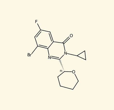 O=c1c2cc(F)cc(Br)c2nc([C@H]2CCCCO2)n1C1CC1